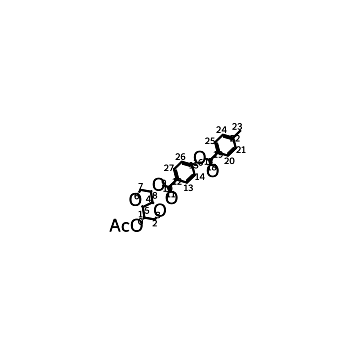 CC(=O)O[C@@H]1COC2C1OC[C@@H]2OC(=O)c1ccc(OC(=O)c2ccc(C)cc2)cc1